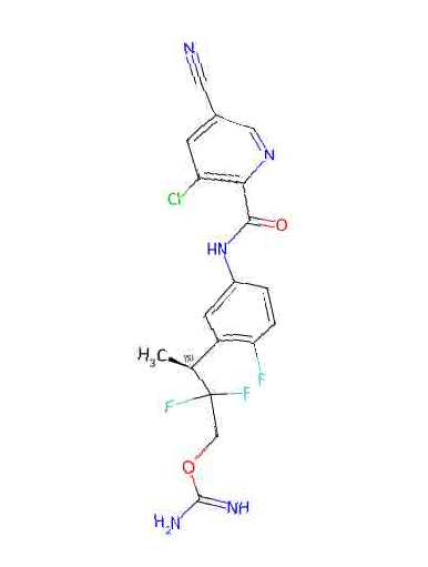 C[C@@H](c1cc(NC(=O)c2ncc(C#N)cc2Cl)ccc1F)C(F)(F)COC(=N)N